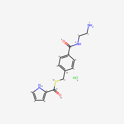 Cl.NCCNC(=O)c1ccc(CSC(=O)c2ccc[nH]2)cc1